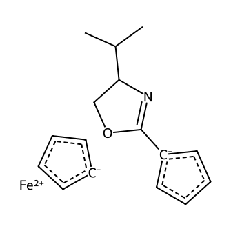 CC(C)C1COC([c-]2cccc2)=N1.[Fe+2].c1cc[cH-]c1